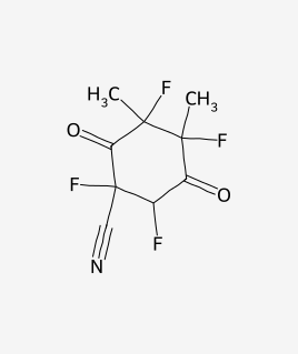 CC1(F)C(=O)C(F)C(F)(C#N)C(=O)C1(C)F